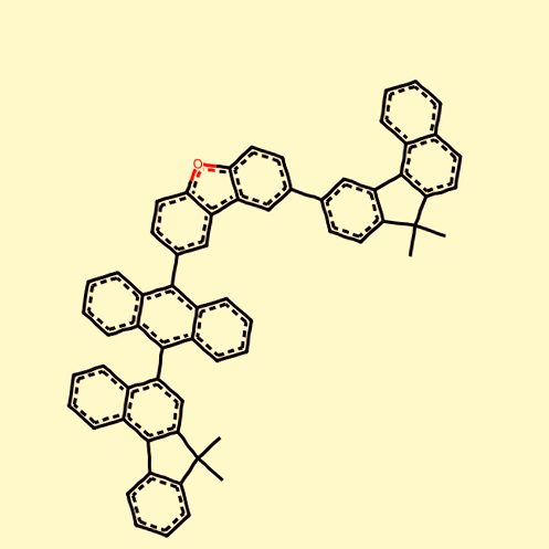 CC1(C)c2ccc(-c3ccc4oc5ccc(-c6c7ccccc7c(-c7cc8c(c9ccccc79)-c7ccccc7C8(C)C)c7ccccc67)cc5c4c3)cc2-c2c1ccc1ccccc21